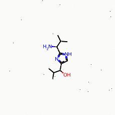 CC(C)C(O)c1c[nH]c([C@@H](N)C(C)C)n1